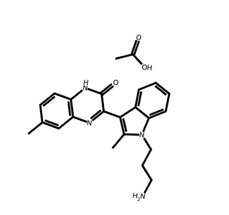 CC(=O)O.Cc1ccc2[nH]c(=O)c(-c3c(C)n(CCCN)c4ccccc34)nc2c1